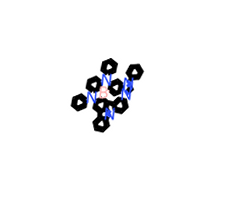 c1ccc(N2c3cc4c(cc3B3c5c2cccc5N(c2ccccc2)c2cc5c6ccccc6n6c7ccccc7c(c23)c56)ncn4-c2ccccc2)cc1